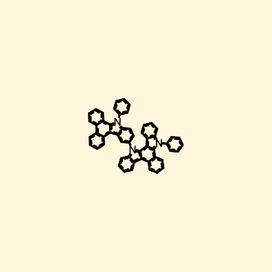 c1ccc(-n2c3ccc(-n4c5ccccc5c5c6ccccc6c6c(c7ccccc7n6-c6ccccc6)c54)cc3c3c4ccccc4c4ccccc4c32)cc1